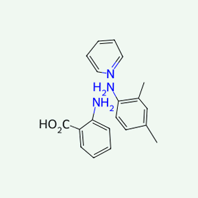 Cc1ccc(N)c(C)c1.Nc1ccccc1C(=O)O.c1ccncc1